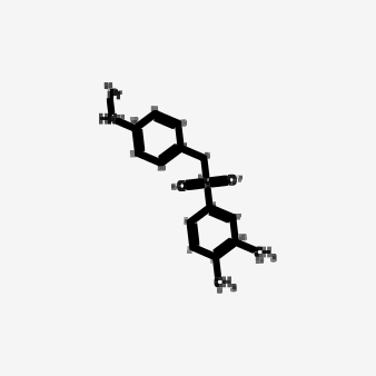 Cc1ccc(S(=O)(=O)Cc2ccc(NC(C)C)cc2)cc1C